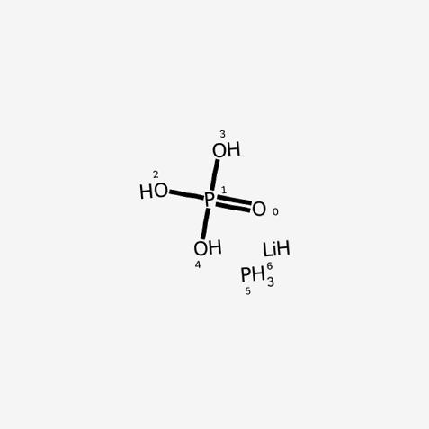 O=P(O)(O)O.P.[LiH]